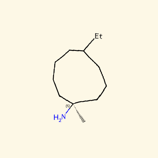 CCC1CCCC[C@](C)(N)CCC1